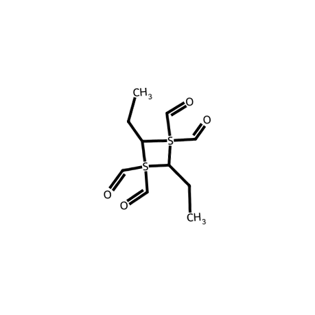 CCC1S(C=O)(C=O)C(CC)S1(C=O)C=O